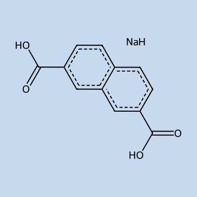 O=C(O)c1ccc2ccc(C(=O)O)cc2c1.[NaH]